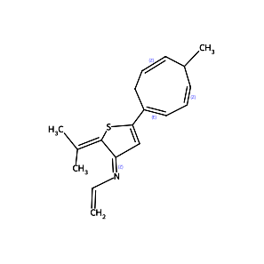 C=C/N=C1C=C(/C2=C/C=C\C(C)/C=C\C2)SC/1=C(C)C